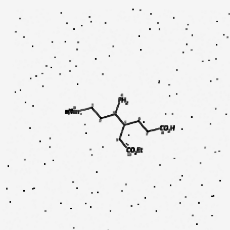 CCCCCCCCCCCC(P)C(CCC(=O)O)CC(=O)OCC